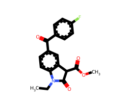 CCN1C(=O)C(C(=O)OC)c2cc(C(=O)c3ccc(F)cc3)ccc21